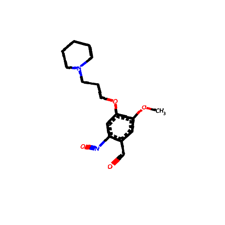 COc1cc(C=O)c(N=O)cc1OCCCN1CCCCC1